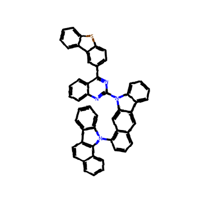 c1cc(-n2c3ccccc3c3ccc4ccccc4c32)c2cc3c(cc2c1)c1ccccc1n3-c1nc(-c2ccc3sc4ccccc4c3c2)c2ccccc2n1